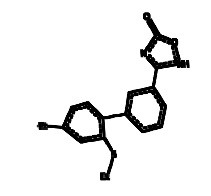 C[CH]c1ccc(-c2cccc(-c3nc(=O)o[nH]3)c2)c(SCC)c1